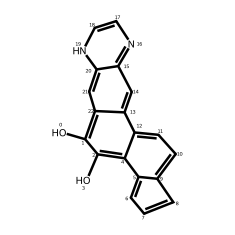 Oc1c(O)c2c3cccc3ccc2c2cc3ncc[nH]c3cc12